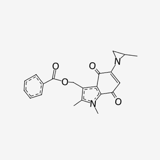 Cc1c(COC(=O)c2ccccc2)c2c(n1C)C(=O)C=C(N1CC1C)C2=O